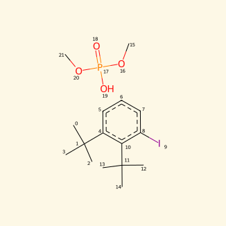 CC(C)(C)c1cccc(I)c1C(C)(C)C.COP(=O)(O)OC